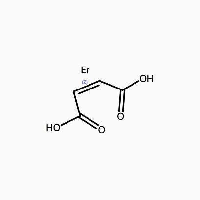 O=C(O)/C=C\C(=O)O.[Er]